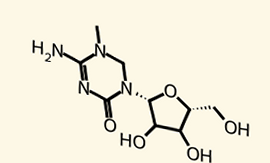 CN1CN([C@@H]2O[C@H](CO)C(O)C2O)C(=O)N=C1N